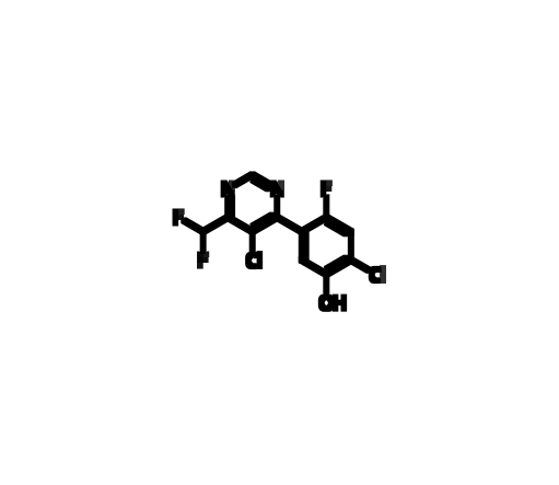 Oc1cc(-c2ncnc(C(F)F)c2Cl)c(F)cc1Cl